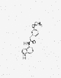 COc1cccc(CC(=O)Nc2cccc3[nH]ccc23)c1